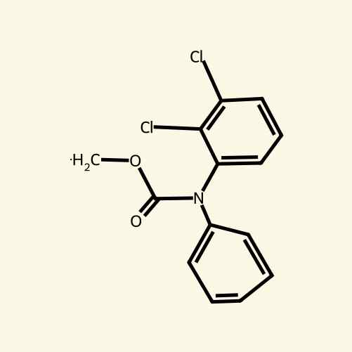 [CH2]OC(=O)N(c1ccccc1)c1cccc(Cl)c1Cl